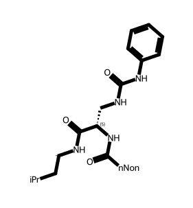 CCCCCCCCCC(=O)N[C@@H](CNC(=O)Nc1ccccc1)C(=O)N[CH]CC(C)C